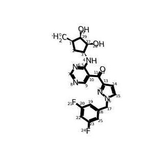 [CH2][C@@H]1C[C@@H](Nc2ncncc2C(=O)c2ccn(Cc3cc(F)cc(F)c3)n2)[C@H](O)[C@@H]1O